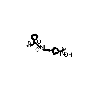 CN(C)Cc1c(C(=O)NCC#Cc2ccc(C(=O)NO)cc2)oc2ccccc12